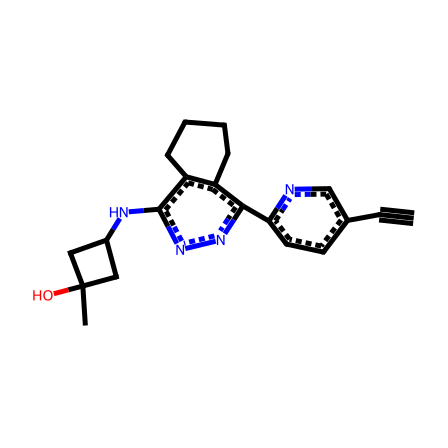 C#Cc1ccc(-c2nnc(NC3CC(C)(O)C3)c3c2CCCC3)nc1